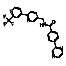 O=C(NCc1ccc(-c2ccnc(C(F)(F)F)c2)nc1)c1ccc(-c2cnccn2)cc1